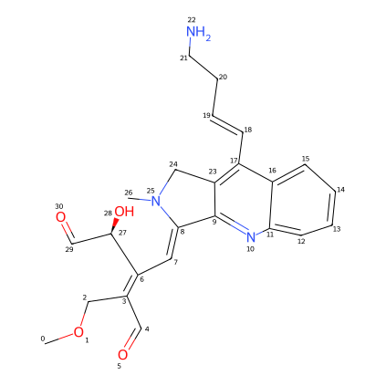 COC/C(C=O)=C(/C=C1/c2nc3ccccc3c(/C=C/CCN)c2CN1C)[C@H](O)C=O